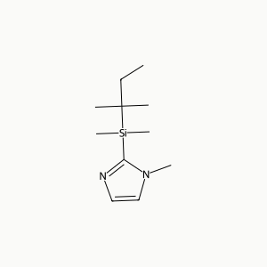 CCC(C)(C)[Si](C)(C)c1nccn1C